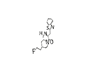 N[C@@H](Cc1nc2ccccc2s1)C(=O)N1CCC(CCF)CC1